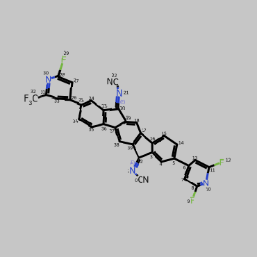 N#C/N=c1\c2cc(-c3cc(F)nc(F)c3)ccc2c2cc3/c(=N/C#N)c4cc(-c5cc(F)nc(C(F)(F)F)c5)ccc4c3cc12